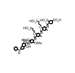 COc1cc(N=Nc2c(S(=O)(=O)O)cc3cc(Nc4ccccc4)ccc3c2O)c(OC)cc1N=Nc1cc(C)c(N=Nc2cc(C)c(N=Nc3ccc(S(=O)(=O)O)cc3S(=O)(=O)O)cc2OCCCS(=O)(=O)O)cc1OCCCS(=O)(=O)O